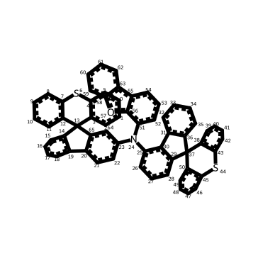 c1ccc2c(c1)Sc1ccccc1C21c2ccccc2-c2ccc(N(c3cccc4c3-c3ccccc3C43c4ccccc4Sc4ccccc43)c3cccc4c3oc3ccccc34)cc21